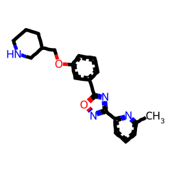 Cc1cccc(-c2noc(-c3cccc(OCC4CCCNC4)c3)n2)n1